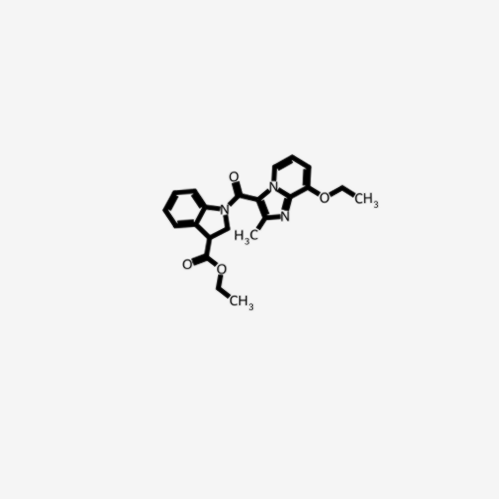 CCOC(=O)C1CN(C(=O)c2c(C)nc3c(OCC)cccn23)c2ccccc21